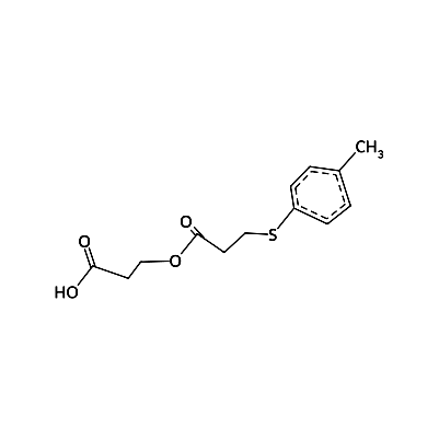 Cc1ccc(SCCC(=O)OCCC(=O)O)cc1